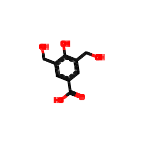 O=C(O)c1cc(CO)c(O)c(CO)c1